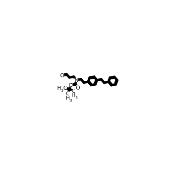 CC(C)(C)OC(=O)N(CCC=O)CCc1ccc(CCc2ccccc2)cc1